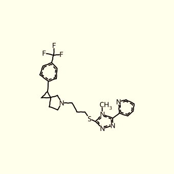 Cn1c(SCCCN2CCC3(CC3c3ccc(C(F)(F)F)cc3)C2)nnc1-c1ccccn1